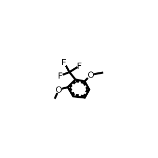 COc1cccc(OC)c1C(F)(F)F